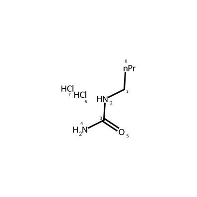 CCCCNC(N)=O.Cl.Cl